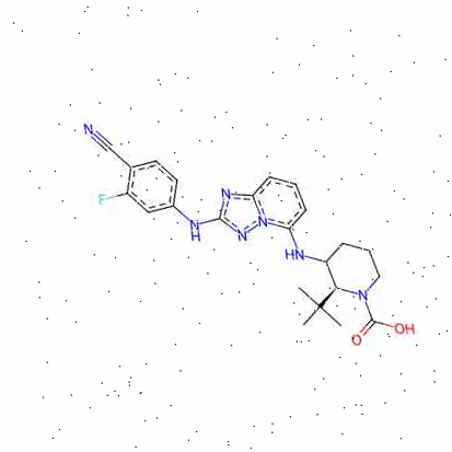 CC(C)(C)[C@H]1C(Nc2cccc3nc(Nc4ccc(C#N)c(F)c4)nn23)CCCN1C(=O)O